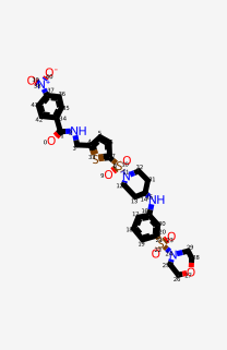 O=C(NCc1ccc(S(=O)(=O)N2CCC(Nc3cccc(S(=O)(=O)N4CCOCC4)c3)CC2)s1)c1ccc([N+](=O)[O-])cc1